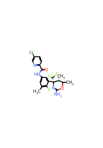 Cc1cc(NC(=O)c2ccc(Cl)cn2)cc([C@]2(C(F)F)N=C(N)OC(C)[C@H]2C)c1F